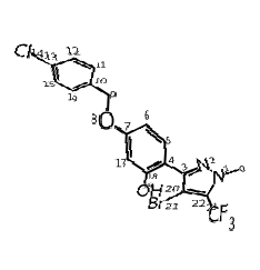 Cn1nc(-c2ccc(OCc3ccc(Cl)cc3)cc2O)c(Br)c1C(F)(F)F